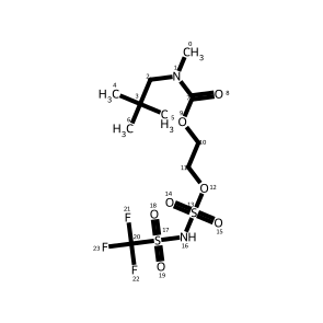 CN(CC(C)(C)C)C(=O)OCCOS(=O)(=O)NS(=O)(=O)C(F)(F)F